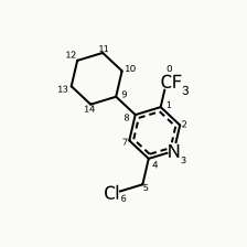 FC(F)(F)c1cnc(CCl)cc1C1CCCCC1